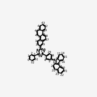 c1ccc(-c2nc(-c3ccc(-n4c5ccccc5c5c6ccccc6ccc54)cc3)nc(-c3ccc4c(ccc5c6ccccc6ccc45)c3)n2)cc1